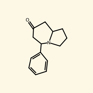 O=C1CC2CCCN2C(c2ccccc2)C1